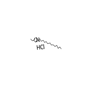 CCCCCCCCCCCCCCN1C=CC(CC)=CC1.Cl